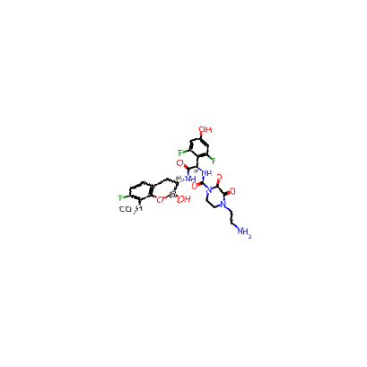 NCCN1CCN(C(=O)N[C@@H](C(=O)N[C@H]2Cc3ccc(F)c(C(=O)O)c3OB2O)c2c(F)cc(O)cc2F)C(=O)C1=O